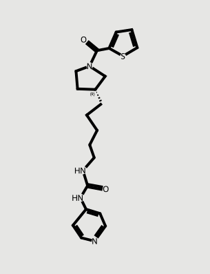 O=C(NCCCCC[C@@H]1CCN(C(=O)c2cccs2)C1)Nc1ccncc1